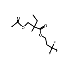 CCC(C)(COC(C)=O)C(=O)OCCC(F)(F)F